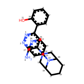 Nc1nnc(-c2ccccc2O)cc1N1CC2CCCC(C1)N2c1ccncc1